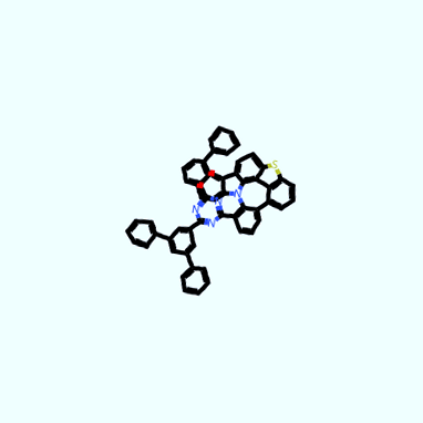 c1ccc(-c2cccc(-c3nc(-c4cc(-c5ccccc5)cc(-c5ccccc5)c4)nc(-c4cccc5c6cccc7sc8ccc9c%10ccccc%10n(c45)c9c8c76)n3)c2)cc1